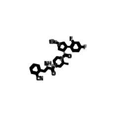 C[C@H]1CN(C(=O)[C@@H](N)Cc2ccccc2C#N)CCN1C(=O)[C@@H]1CN(C(C)(C)C)C[C@H]1c1ccc(F)cc1F